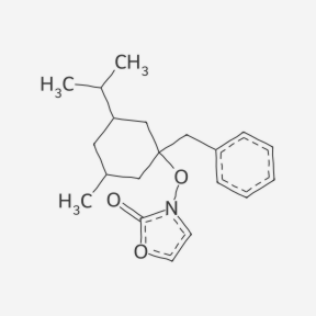 CC1CC(C(C)C)CC(Cc2ccccc2)(On2ccoc2=O)C1